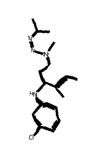 C/C=C(\C)C(CCN(C)/N=N\C(C)C)Nc1cccc(Cl)c1